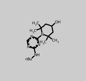 CCCCNc1ncnc(N2C(C)(C)CC(O)CC2(C)C)n1